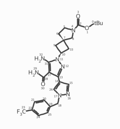 CC(C)(C)OC(=O)N1CC[C@]2(C1)C[C@H](n1nc(-c3cnn(Cc4ccc(C(F)(F)F)cc4)c3)c(C(N)=O)c1N)C2